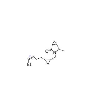 CC/C=C\CCC1CC1CN1C(=O)C2CC2C1C